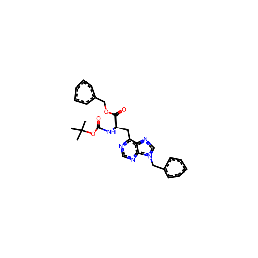 CC(C)(C)OC(=O)N[C@H](Cc1ncnc2c1ncn2Cc1ccccc1)C(=O)OCc1ccccc1